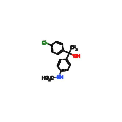 O=C(O)Nc1ccc(C(O)(c2ccc(Cl)cc2)C(F)(F)F)cc1